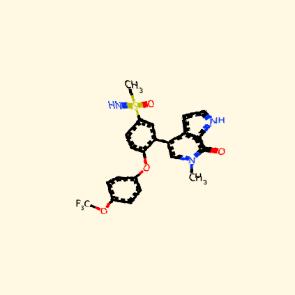 Cn1cc(-c2cc(S(C)(=N)=O)ccc2Oc2ccc(OC(F)(F)F)cc2)c2cc[nH]c2c1=O